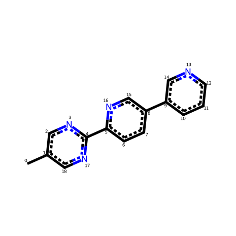 Cc1cnc(-c2ccc(-c3cccnc3)cn2)nc1